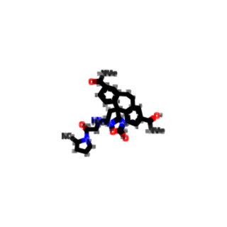 CNC(=O)c1ccc2c(c1)CCc1cc(C(=O)NC)ccc1C2(CCNCC(=O)N1CCCC1C#N)c1nc(=O)on1C